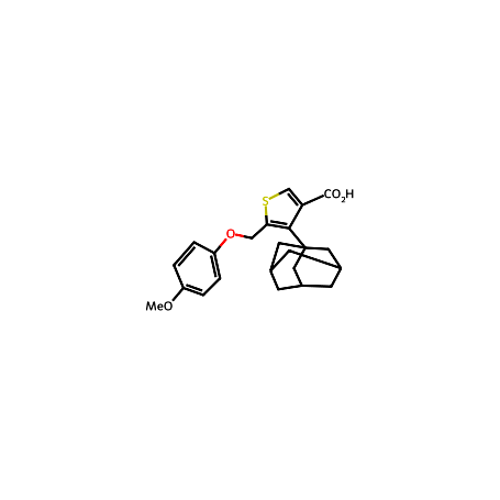 COc1ccc(OCc2scc(C(=O)O)c2C23CC4CC(CC(C4)C2)C3)cc1